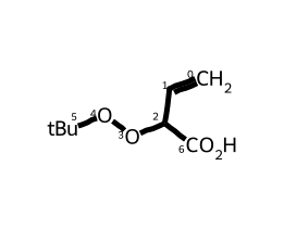 C=CC(OOC(C)(C)C)C(=O)O